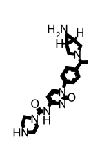 CC(c1ccc(-n2ccc(NC(=O)N3CCNCC3)nc2=O)cc1)N1C[C@@H]2[C@@H](N)[C@@H]2C1